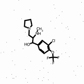 CNC(CN1CCCC1)C(O)c1ccc(OC(F)(F)F)c(Cl)c1